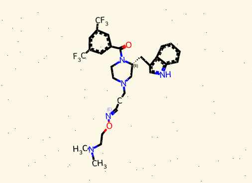 CN(C)CCO/N=C/CCN1CCN(C(=O)c2cc(C(F)(F)F)cc(C(F)(F)F)c2)[C@H](Cc2c[nH]c3ccccc23)C1